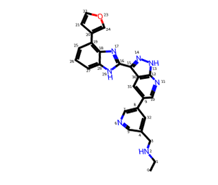 CCNCc1cncc(-c2cnc3[nH]nc(-c4nc5c(-c6ccoc6)cccc5[nH]4)c3c2)c1